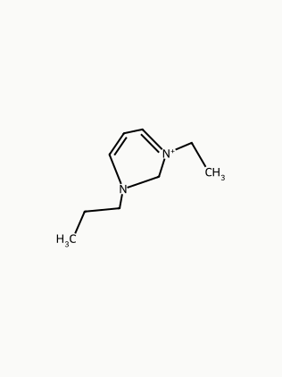 CCCN1C=CC=[N+](CC)C1